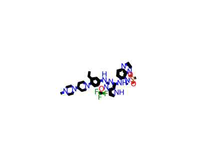 CCc1cc(Nc2nc(Nc3ccc4nccnc4c3N(C)S(C)(=O)=O)c3[nH]ccc3n2)c(OC(F)(F)F)cc1N1CCC(N2CCN(C)CC2)CC1